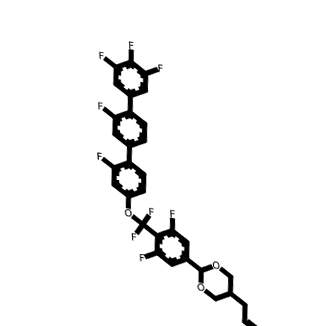 C=CCC1COC(c2cc(F)c(C(F)(F)Oc3ccc(-c4ccc(-c5cc(F)c(F)c(F)c5)c(F)c4)c(F)c3)c(F)c2)OC1